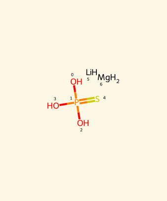 OP(O)(O)=S.[LiH].[MgH2]